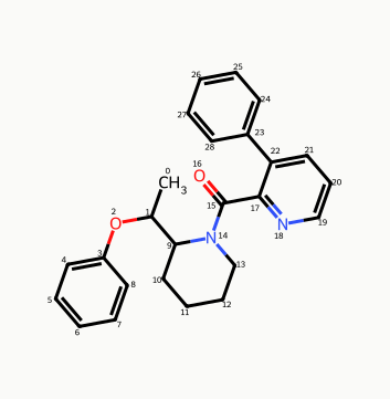 CC(Oc1ccccc1)C1CCCCN1C(=O)c1ncccc1-c1ccccc1